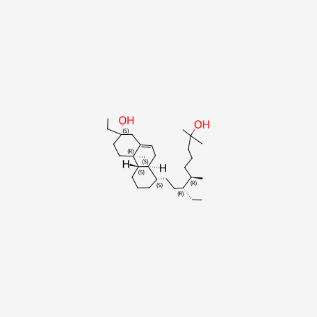 CC[C@H](CC[C@@H]1CCC[C@H]2[C@H]1CC=C1C[C@](O)(CC)CC[C@@]12C)[C@H](C)CCCC(C)(C)O